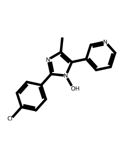 Cc1nc(-c2ccc(Cl)cc2)n(O)c1-c1cccnc1